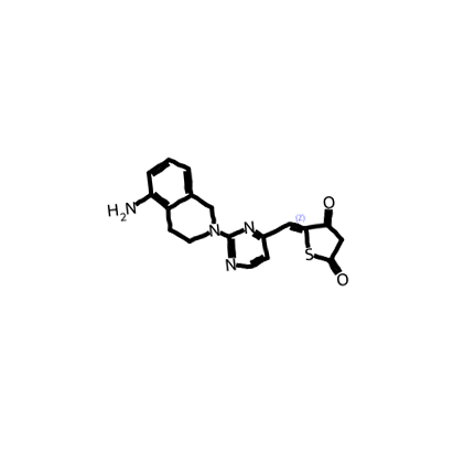 Nc1cccc2c1CCN(c1nccc(/C=C3\SC(=O)CC3=O)n1)C2